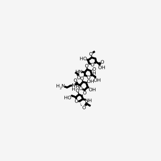 CO[C@H]1CC(C(=O)O)O[C@@H](O[C@@H]2C(NC(C)=O)[C@H](O[C@@H]3C(C(=O)NCCN)O[C@@H](O[C@@H]4C(NC(C)=O)[C@H](C)OC(CO)[C@H]4O)C(O)[C@H]3O)OC(CO)[C@H]2O)C1O